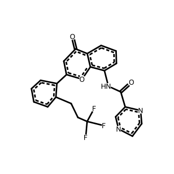 O=C(Nc1cccc2c(=O)cc(-c3ccccc3CCC(F)(F)F)oc12)c1cnccn1